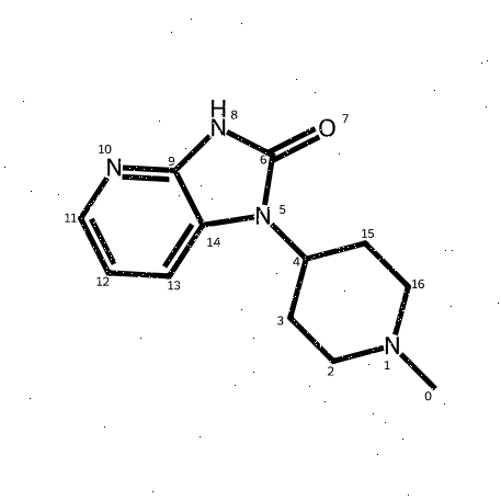 CN1CCC(n2c(=O)[nH]c3ncccc32)CC1